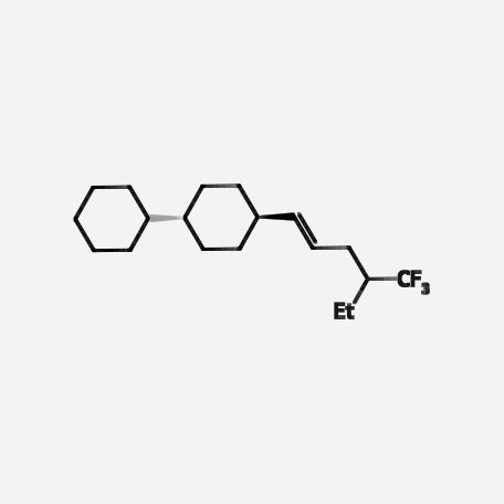 CCC(CC=C[C@H]1CC[C@H](C2CCCCC2)CC1)C(F)(F)F